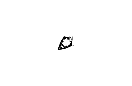 [c]1ncc2cc1-2